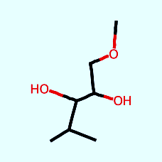 COCC(O)C(O)C(C)C